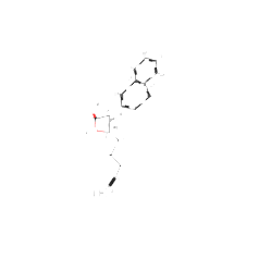 C#CCCC[C@H]1OC(=O)[C@@H]1c1ccc2ccccc2c1